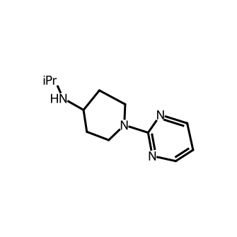 CC(C)NC1CCN(c2ncccn2)CC1